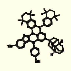 CC(C)(C)c1ccc(N2c3cc([C@]45CC6C7CC8C[C@@H]6C(C4)[C@@H](C8)C7C5)cc4c3B(c3cc5c(cc3N4c3ccc4c(c3)C(C)(C)CCC4(C)C)C(C)(C)CCC5(C)C)c3sc4cc(C(C)(C)C)ccc4c32)cc1